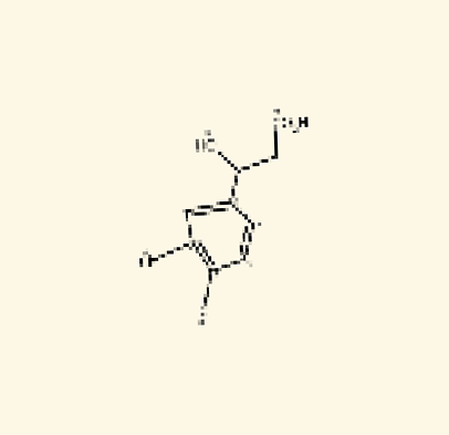 O=C(O)CC(O)c1ccc(Cl)c(Cl)c1